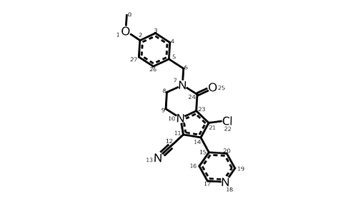 COc1ccc(CN2CCn3c(C#N)c(-c4ccncc4)c(Cl)c3C2=O)cc1